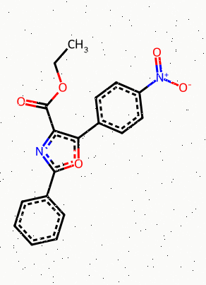 CCOC(=O)c1nc(-c2ccccc2)oc1-c1ccc([N+](=O)[O-])cc1